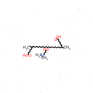 CCC(=CCCCCC(=O)O)CCCCCCCCC(CCCCCCCCC=C(CC)CCCCC(=O)O)OC(=O)CCCN(C)C